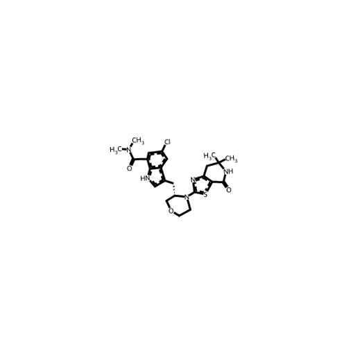 CN(C)C(=O)c1cc(Cl)cc2c(C[C@H]3COCCN3c3nc4c(s3)C(=O)NC(C)(C)C4)c[nH]c12